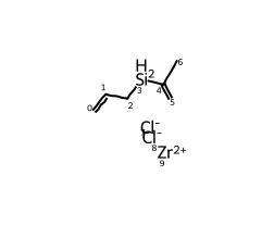 C=CC[SiH2]C(=C)C.[Cl-].[Cl-].[Zr+2]